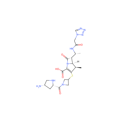 C[C@@H](NC(=O)Cn1cnnn1)[C@H]1C(=O)N2C(C(=O)O)=C(SC3CN(C(=O)[C@@H]4C[C@H](N)CN4)C3)[C@H](C)[C@H]12